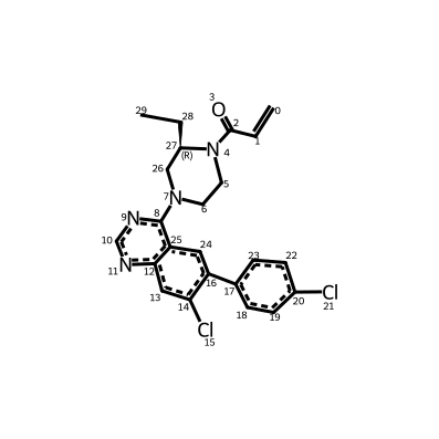 C=CC(=O)N1CCN(c2ncnc3cc(Cl)c(-c4ccc(Cl)cc4)cc23)C[C@H]1CC